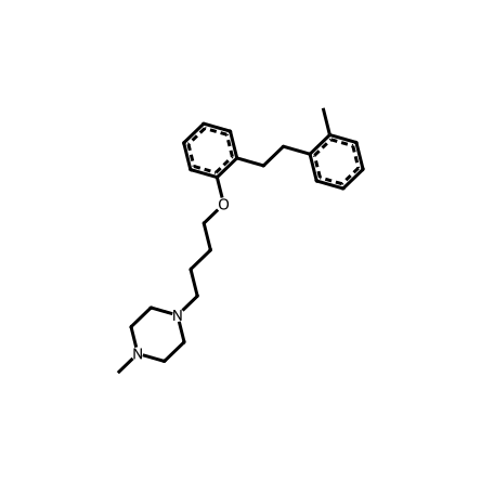 Cc1ccccc1CCc1ccccc1OCCCCN1CCN(C)CC1